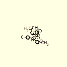 C=C(/C=C\C=C(C)C)C1C(c2ccc(Cl)cc2)N=C(c2cccc(OC)c2)N1C(=O)N1CCNC(=O)C1